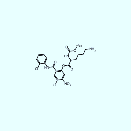 CC(C)(C)OC(=O)NC(CCCCN)C(=O)Oc1cc([N+](=O)[O-])c(Cl)cc1C(=O)Nc1ccccc1Cl